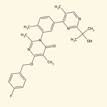 Cc1ccc(-c2nc(C(C)(C)O)ncc2C)cc1-n1c(C)nc(OCc2ccc(F)cc2)c(C)c1=O